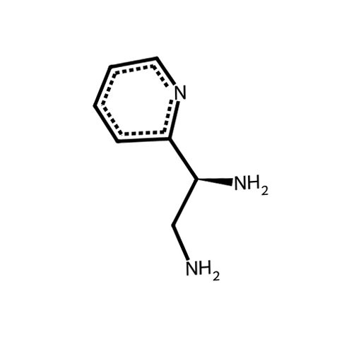 NC[C@H](N)c1ccccn1